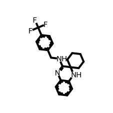 FC(F)(F)c1ccc(CNC2=Nc3ccccc3NC23CCCCC3)cc1